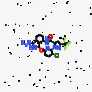 NC1NC(=O)c2c(NC(=O)c3cc(C(F)(F)F)nn3-c3ncccc3Cl)cccc21